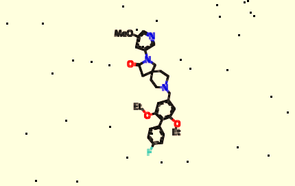 CCOc1cc(CN2CCC3(CC2)CC(=O)N(c2cncc(OC)c2)C3)cc(OCC)c1-c1ccc(F)cc1